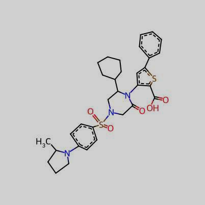 CC1CCCN1c1ccc(S(=O)(=O)N2CC(=O)N(c3cc(-c4ccccc4)sc3C(=O)O)C(C3CCCCC3)C2)cc1